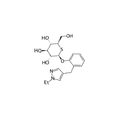 CCn1cc(Cc2ccccc2O[C@@H]2S[C@H](CO)[C@@H](O)[C@H](O)[C@H]2O)cn1